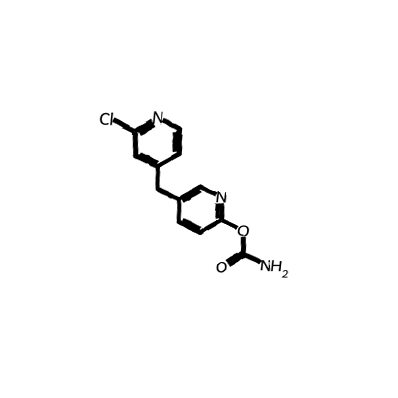 NC(=O)Oc1ccc(Cc2ccnc(Cl)c2)cn1